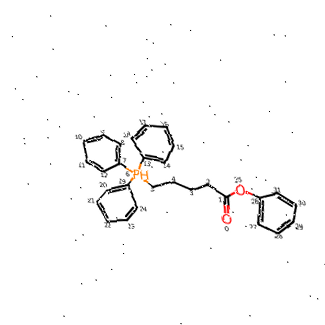 O=C(CCCC[PH](c1ccccc1)(c1ccccc1)c1ccccc1)Oc1ccccc1